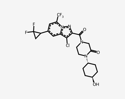 O=C(c1nn2c(C(F)(F)F)cc(C3CC3(F)F)cc2c1Cl)N1CCN([C@H]2CC[C@H](O)CC2)C(=O)C1